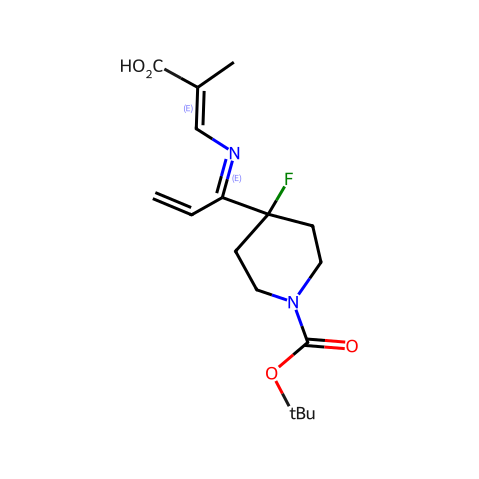 C=C/C(=N\C=C(/C)C(=O)O)C1(F)CCN(C(=O)OC(C)(C)C)CC1